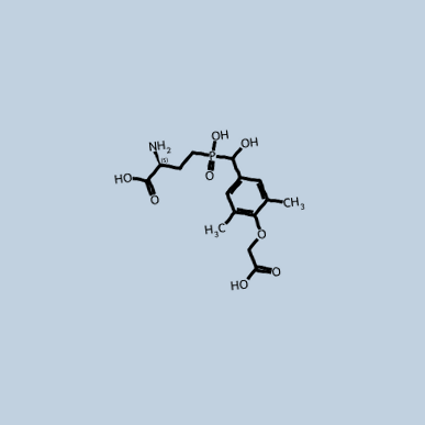 Cc1cc(C(O)P(=O)(O)CC[C@H](N)C(=O)O)cc(C)c1OCC(=O)O